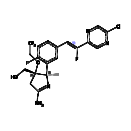 C[C@]1(c2cc(/C=C(\F)c3cnc(Cl)cn3)ccc2F)N=C(N)C[C@]1(CO)OCC(F)(F)F